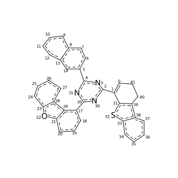 C1=C(c2nc(-c3ccc4ccccc4c3)nc(-c3cccc4oc5ccccc5c34)n2)c2sc3ccccc3c2CC1